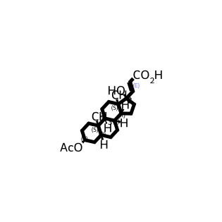 CC(=O)O[C@H]1CC[C@@]2(C)[C@H](CC[C@H]3[C@H]4CC[C@](O)(/C=C/C(=O)O)[C@@]4(C)CC[C@@H]32)C1